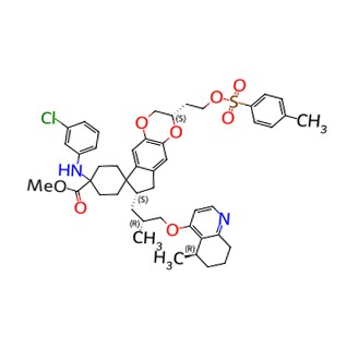 COC(=O)C1(Nc2cccc(Cl)c2)CCC2(CC1)c1cc3c(cc1C[C@@H]2C[C@@H](C)COc1ccnc2c1[C@H](C)CCC2)O[C@@H](CCOS(=O)(=O)c1ccc(C)cc1)CO3